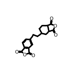 O=C1OC(=O)c2cc(CCC3CCC4C(=O)OC(=O)C4C3)ccc21